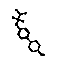 CCC[C@H]1CC[C@H](c2ccc(OC(F)(F)C(F)F)cc2)CC1